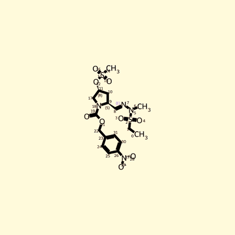 CCS(=O)(=O)N(C)/N=C/[C@@H]1C[C@@H](OS(C)(=O)=O)CN1C(=O)OCc1ccc([N+](=O)[O-])cc1